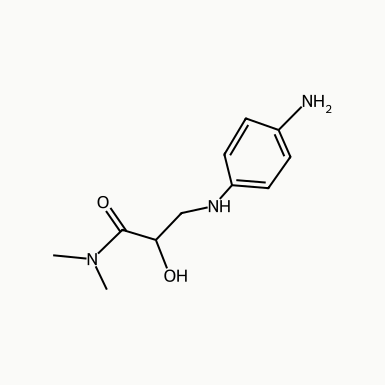 CN(C)C(=O)C(O)CNc1ccc(N)cc1